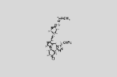 COCc1nnc2n1Cc1c(C#Cc3ccc(OCC4CC4C)nc3)ncn1-c1ccc(Cl)cc1-2